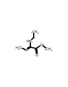 CCN/C(=N\C)C(=O)OC